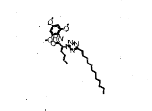 CCCCCCCCCCCCc1nnn(C(CCCC)C(=O)Nc2c(OC)cc(OC)cc2OC)n1